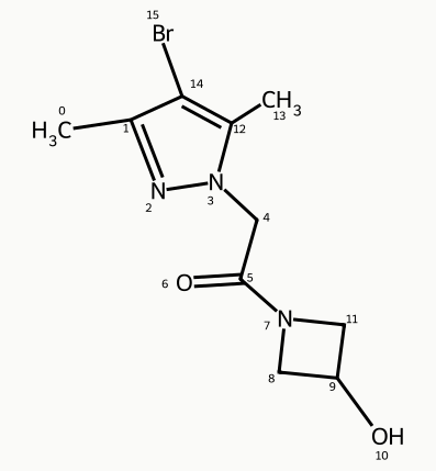 Cc1nn(CC(=O)N2CC(O)C2)c(C)c1Br